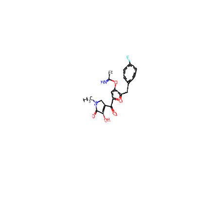 CCC(=N)Oc1cc(C(=O)C2=C(O)C(=O)N(C)C2)oc1Cc1ccc(F)cc1